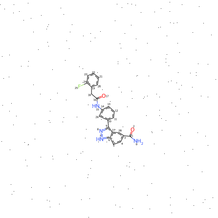 NC(=O)c1ccc2[nH]nc(-c3cccc(NC(=O)Cc4ccccc4F)c3)c2c1